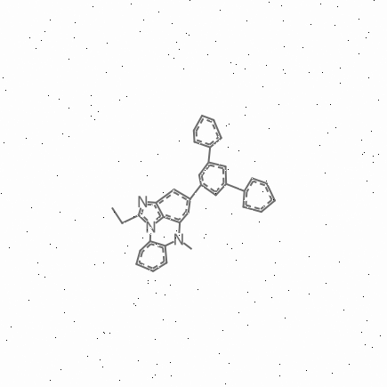 CCc1nc2cc(-c3cc(-c4ccccc4)cc(-c4ccccc4)c3)cc3c2n1-c1ccccc1N3C